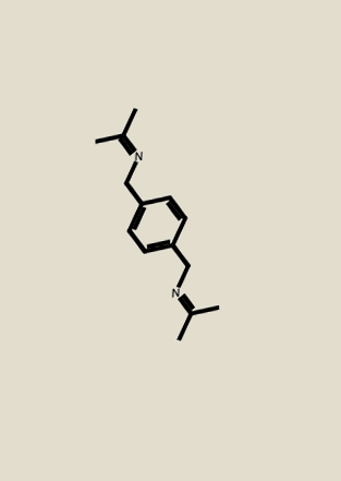 CC(C)=NCc1ccc(CN=C(C)C)cc1